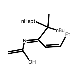 C=C(O)/N=C(\C=C/CC)C(C)(CCCC)CCCCCCC